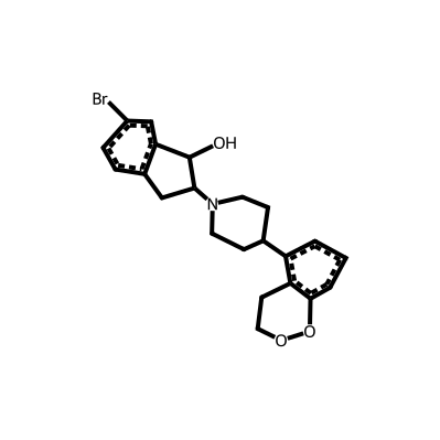 OC1c2cc(Br)ccc2CC1N1CCC(c2cccc3c2CCOO3)CC1